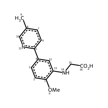 COc1ccc(-c2ccc(C)cn2)cc1NCC(=O)O